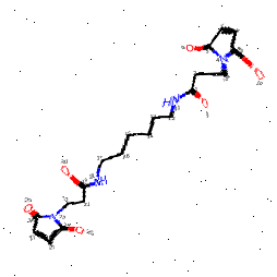 O=C(CCN1C(=O)C=CC1=O)NCCCCCCNC(=O)CCN1C(=O)C=CC1=O